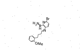 COc1ccccc1CCCC=Nc1ccc(Br)nc1BN